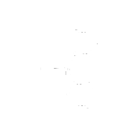 CCCCCCC[CH2][SnH]([c]1ccccc1)[c]1ccccc1